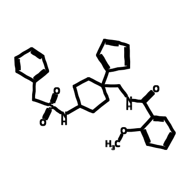 COc1ccccc1C(=O)NCC1(c2ccccc2)CCC(NS(=O)(=O)Cc2ccccc2)CC1